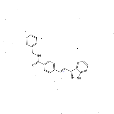 O=C(NCc1ccccc1)c1ccc(/C=C/c2n[nH]c3ccccc23)cc1